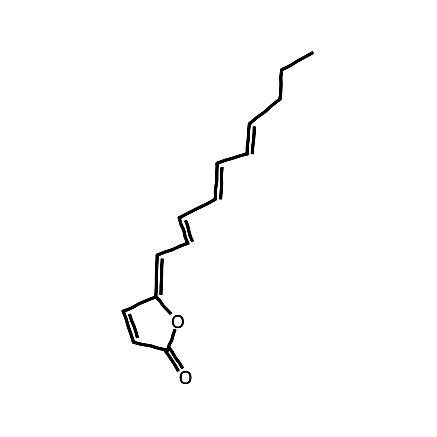 CCC/C=C/C=C/C=C/C=C1/C=CC(=O)O1